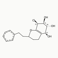 O[C@H]1[C@H](O)[C@@H](O)C2=C(OC(CCc3ccccc3)CC2)[C@H]1Cl